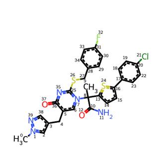 Cn1cc(Cc2cn(C(C)(C(N)=O)c3ccc(-c4ccc(Cl)cc4)s3)c(SCc3ccc(F)cc3)nc2=O)cn1